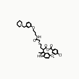 COc1ccc2[nH]c(C)c(C(CCSCC(=O)NCCCOc3cccc(CN4CCCCC4)c3)C(=O)OC(=O)c3ccc(Cl)cc3)c2c1